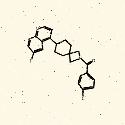 O=C(c1ccc(Cl)cc1)N1CC2(CCC(c3ccnc4ccc(F)cc34)CC2)C1